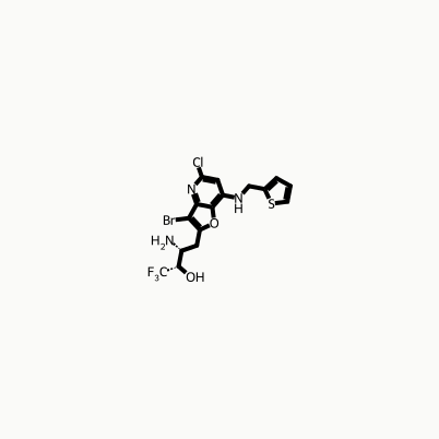 N[C@H](Cc1oc2c(NCc3cccs3)cc(Cl)nc2c1Br)[C@H](O)C(F)(F)F